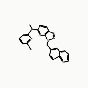 Cc1cccc(N(C)c2ccc3nnn(Cc4ccc5ncccc5c4)c3n2)n1